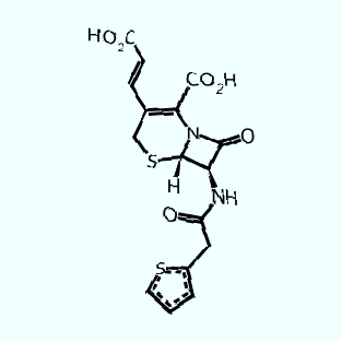 O=C(O)C=CC1=C(C(=O)O)N2C(=O)[C@@H](NC(=O)Cc3cccs3)[C@@H]2SC1